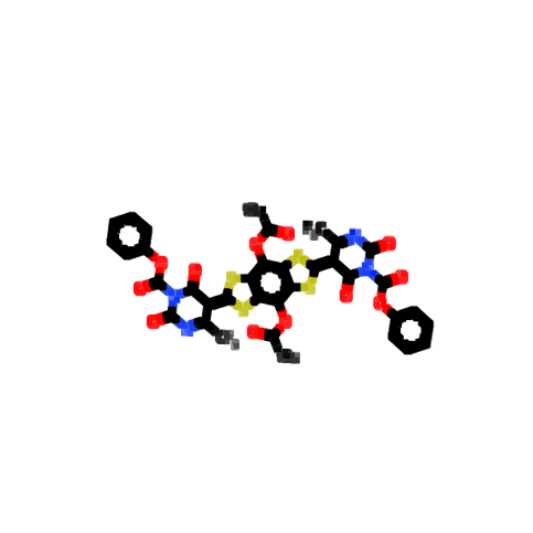 CC(C)(C)C(=O)Oc1c2c(c(OC(=O)C(C)(C)C)c3c1SC(=C1C(=O)N(C(=O)Oc4ccccc4)C(=O)N=C1C(F)(F)F)S3)SC(=C1C(=O)N(C(=O)Oc3ccccc3)C(=O)N=C1C(F)(F)F)S2